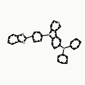 c1ccc(N(c2ccccc2)c2ccc3c(c2)c2cnccc2n3-c2ccc(-c3nc4ccccc4o3)cc2)cc1